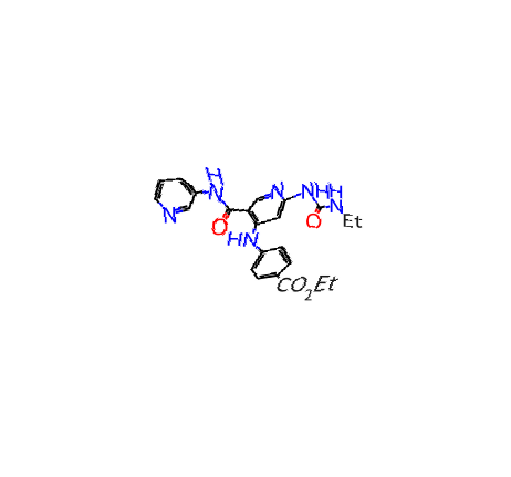 CCNC(=O)Nc1cc(Nc2ccc(C(=O)OCC)cc2)c(C(=O)Nc2cccnc2)cn1